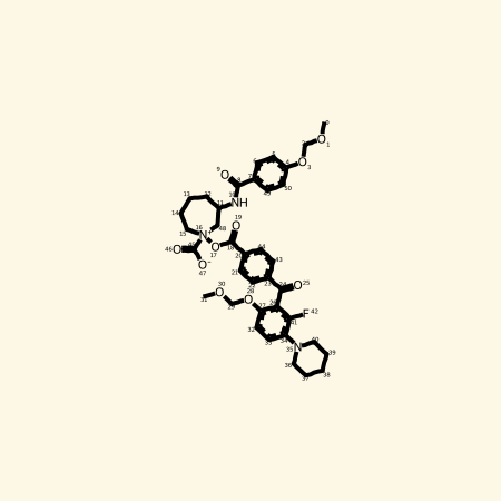 COCOc1ccc(C(=O)NC2CCCC[N+](OC(=O)c3ccc(C(=O)c4c(OCOC)ccc(N5CCCCC5)c4F)cc3)(C(=O)[O-])C2)cc1